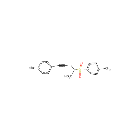 Cc1ccc(S(=O)(=O)C(CC#Cc2ccc(C(C)(C)C)cc2)C(=O)O)cc1